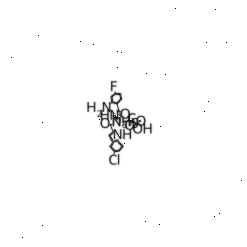 CS(=O)(=O)O.Nc1cc(F)ccc1C(=O)NNC(=O)c1cc2cc(Cl)ccc2[nH]1